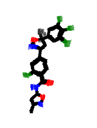 CC1=NOC(NC(=O)c2ccc(C3=NO[C@@](c4cc(Cl)c(Cl)c(Cl)c4)(C(F)(F)F)C3)cc2Br)C1